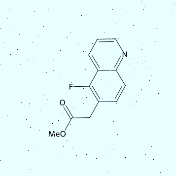 COC(=O)Cc1ccc2ncccc2c1F